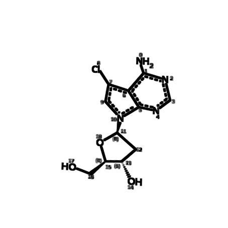 Nc1ncnc2c1c(Cl)cn2[C@H]1C[C@H](O)[C@@H](CO)O1